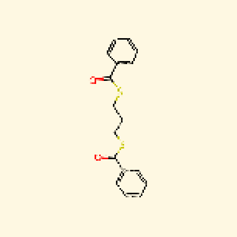 O=C(SCCCSC(=O)c1ccccc1)c1ccccc1